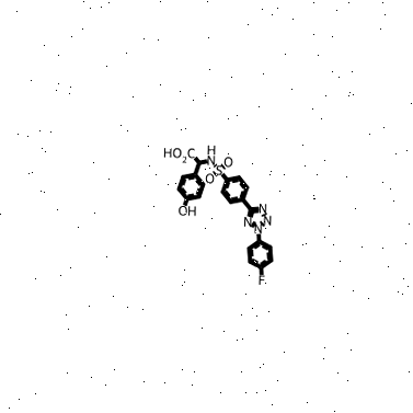 O=C(O)C(NS(=O)(=O)c1ccc(-c2nnn(-c3ccc(F)cc3)n2)cc1)c1ccc(O)cc1